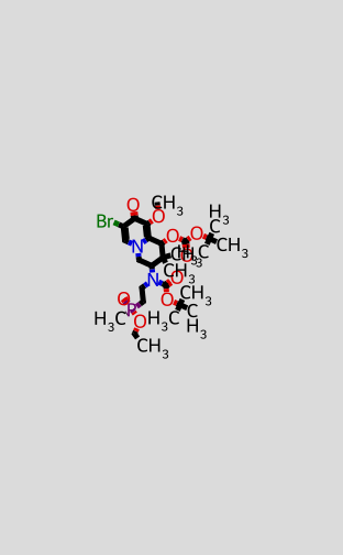 CCOP(C)(=O)CCN(C(=O)OC(C)(C)C)C1Cn2cc(Br)c(=O)c(OC)c2C(OC(=O)OC(C)(C)C)C1(C)C